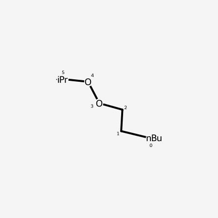 CCCCCCOO[C](C)C